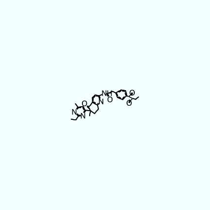 CCc1nc(C)cc(C2(C)CCc3nc(NC(=O)Cc4ccc(S(=O)(=O)CC)cc4)ccc3C2=O)n1